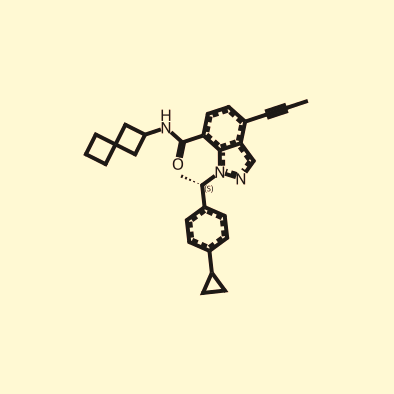 CC#Cc1ccc(C(=O)NC2CC3(CCC3)C2)c2c1cnn2[C@@H](C)c1ccc(C2CC2)cc1